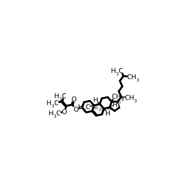 COC(C(=O)O[C@H]1CC[C@@]2(C)C(=CC[C@H]3[C@@H]4CC[C@H]([C@H](C)CCCC(C)C)[C@@]4(C)CC[C@@H]32)C1)=C(C)C